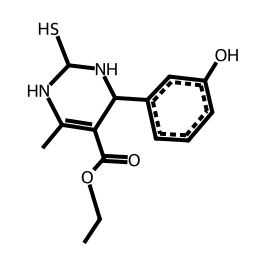 CCOC(=O)C1=C(C)NC(S)NC1c1cccc(O)c1